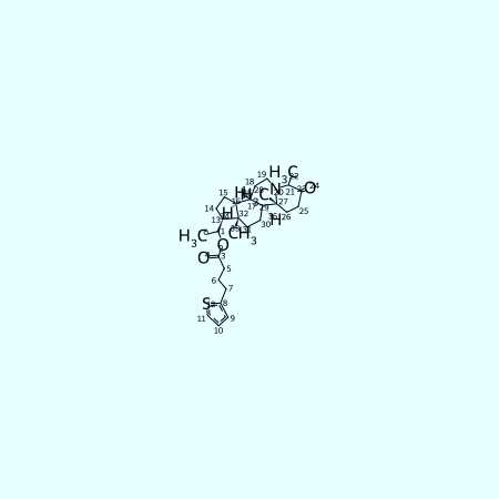 CC(OC(=O)CCCc1cccs1)[C@H]1CC[C@H]2[C@@H]3CCN4C(C)C(=O)CC[C@]4(C)[C@H]3CC[C@]12C